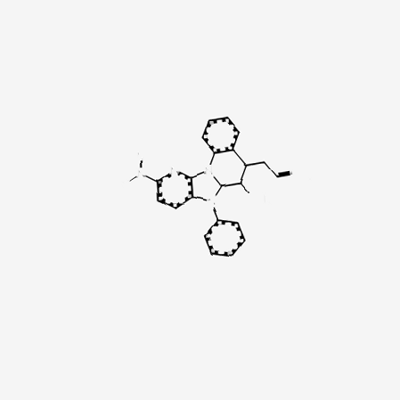 C=CCC1c2ccccc2N2c3nc(N(C)C)ccc3N(c3ccccc3)C2C1C